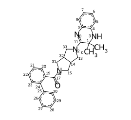 CC1(C)Nc2ccccc2N=C1N1CC2CN(C(=O)c3ccccc3-c3ccccc3)CC2C1